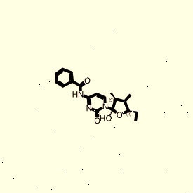 CC[C@H]1O[C@@](O)(n2ccc(NC(=O)c3ccccc3)nc2=O)[C@@H](C)C1C